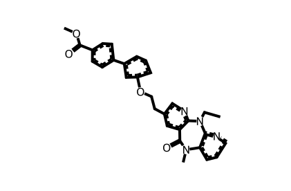 CCN1c2ncc(CCOc3cccc(-c4ccc(C(=O)OC)cc4)c3)cc2C(=O)N(C)c2cccnc21